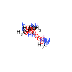 Cn1cncc1CC(NC(=O)CI)C(=O)NCCOCCOCCNC(=O)COCC(COC(=O)C(C)(C)C)(COC(=O)C(C)(C)C1CN1)COC(=O)C(C)(C)C1CN1